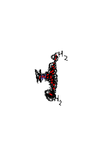 C=CC(=O)OCCCCCCOc1ccc(C(=O)Oc2ccc(OC(=O)c3ccc(OCCCCCCOC(=O)C=C)cc3)c3sc(N/C=C/C=C(C#N)C#N)nc23)cc1